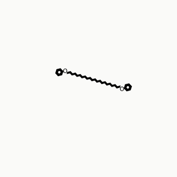 c1ccc(OCCCCCCCCCCCCCCCCCCCCCCOc2ccccc2)cc1